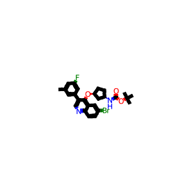 Cc1cc(F)cc(-c2cnc3ccc(Br)cc3c2O[C@H]2CC[C@H](NC(=O)OC(C)(C)C)C2)c1